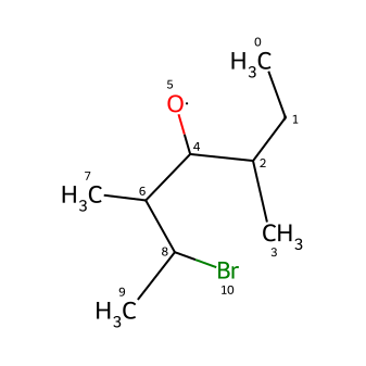 CCC(C)C([O])C(C)C(C)Br